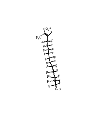 O=C(O)C(=C(F)C(F)(F)C(F)(F)C(F)(F)C(F)(F)C(F)(F)C(F)(F)C(F)(F)C(F)(F)C(F)(F)C(F)(F)C(F)(F)C(F)(F)F)C(F)(F)F